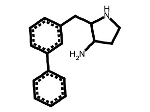 NC1CCNC1Cc1cccc(-c2ccccc2)c1